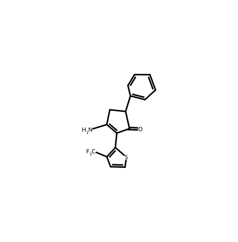 NC1=C(c2sccc2C(F)(F)F)C(=O)C(c2ccccc2)C1